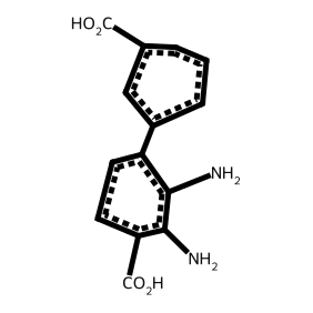 Nc1c(C(=O)O)ccc(-c2cccc(C(=O)O)c2)c1N